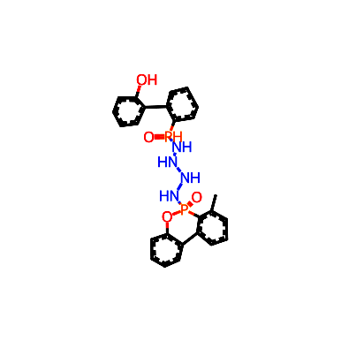 Cc1cccc2c1P(=O)(NNNN[PH](=O)c1ccccc1-c1ccccc1O)Oc1ccccc1-2